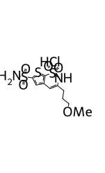 COCCCC1=Cc2cc(S(N)(=O)=O)sc2S(=O)(=O)N1.Cl